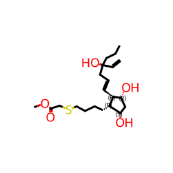 C=CC(O)(CC=C[C@@H]1[C@@H](CCCCSCC(=O)OC)[C@@H](O)C[C@H]1O)CCC